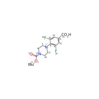 CC(C)(C)OC(=O)N1CCN(c2c(F)cc(C(=O)O)cc2F)CC1